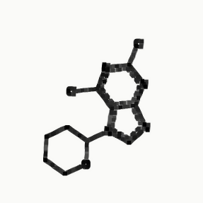 Clc1nc(Cl)c2c(ncn2C2CCCCO2)n1